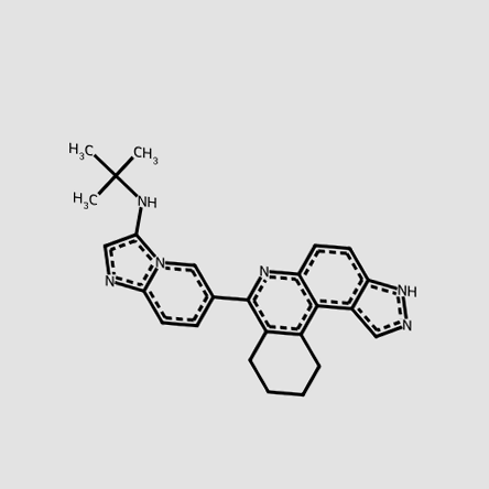 CC(C)(C)Nc1cnc2ccc(-c3nc4ccc5[nH]ncc5c4c4c3CCCC4)cn12